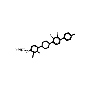 CCCCCCCOc1ccc(C2CCC(c3ccc(-c4ccc(C)cc4)c(F)c3F)CC2)c(F)c1F